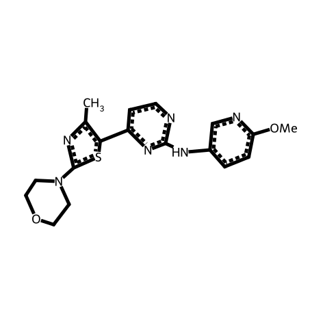 COc1ccc(Nc2nccc(-c3sc(N4CCOCC4)nc3C)n2)cn1